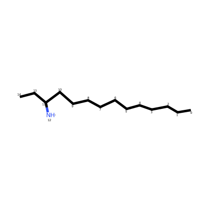 CCCCCCCCCCCC([NH])CC